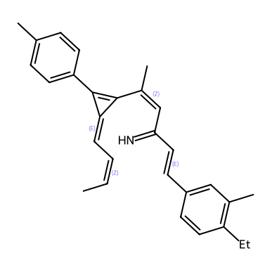 C/C=C\C=C1C(/C(C)=C\C(=N)/C=C/c2ccc(CC)c(C)c2)=C/1c1ccc(C)cc1